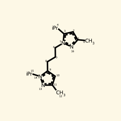 Cc1cc(C(C)C)n(CCCc2cc(C)nn2C(C)C)n1